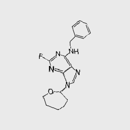 Fc1nc(NCc2ccccc2)c2ncn(C3CCCCCO3)c2n1